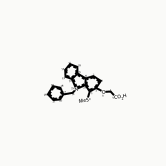 CSc1c(OCC(=O)O)ccc2c3ccccc3n(Cc3ccccc3)c12